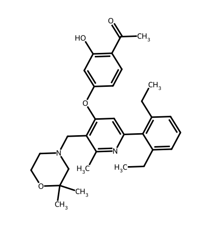 CCc1cccc(CC)c1-c1cc(Oc2ccc(C(C)=O)c(O)c2)c(CN2CCOC(C)(C)C2)c(C)n1